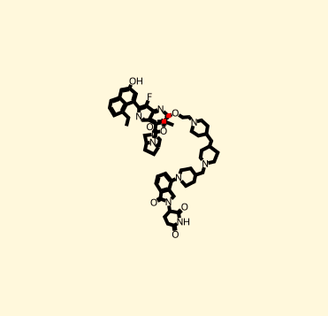 CCc1cccc2cc(O)cc(-c3ncc4c(N5CC6CCC(C5)N6C(=O)OC(C)(C)C)nc(OCCN5CCC(CC6CCN(CC7CCN(c8cccc9c8CN(C8CCC(=O)NC8=O)C9=O)CC7)CC6)CC5)nc4c3F)c12